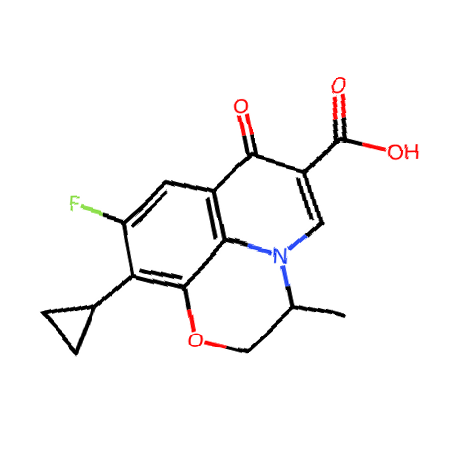 CC1COc2c(C3CC3)c(F)cc3c(=O)c(C(=O)O)cn1c23